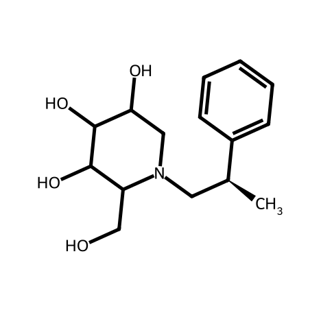 C[C@@H](CN1CC(O)C(O)C(O)C1CO)c1ccccc1